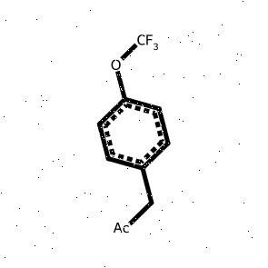 CC(=O)Cc1ccc(OC(F)(F)F)cc1